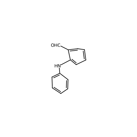 O=Cc1ccccc1Nc1ccccc1